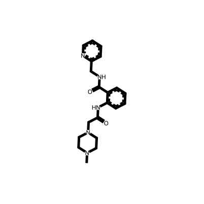 CN1CCN(CC(=O)Nc2ccccc2C(=O)NCc2ccccn2)CC1